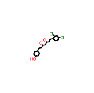 O=C(C=Cc1ccc(O)cc1)CC(=O)C=Cc1ccc(Cl)cc1Cl